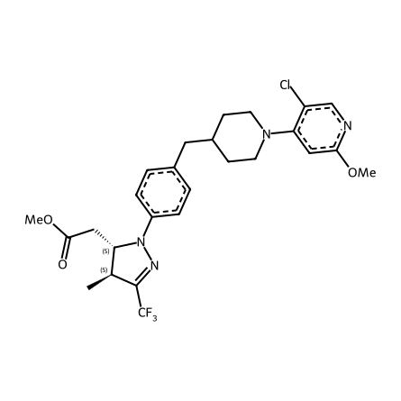 COC(=O)C[C@H]1[C@H](C)C(C(F)(F)F)=NN1c1ccc(CC2CCN(c3cc(OC)ncc3Cl)CC2)cc1